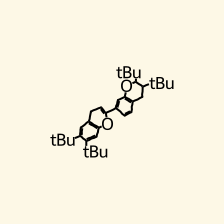 CC(C)(C)c1cc2c(cc1C(C)(C)C)OC(c1ccc3c(c1)OC(C(C)(C)C)C(C(C)(C)C)C3)=CC2